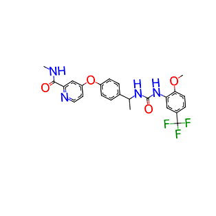 CNC(=O)c1cc(Oc2ccc(C(C)NC(=O)Nc3cc(C(F)(F)F)ccc3OC)cc2)ccn1